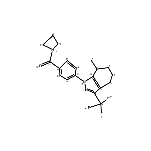 CC1CCCc2c(C(F)(F)F)nn(-c3ccc(C(=O)N4CCC4)cc3)c21